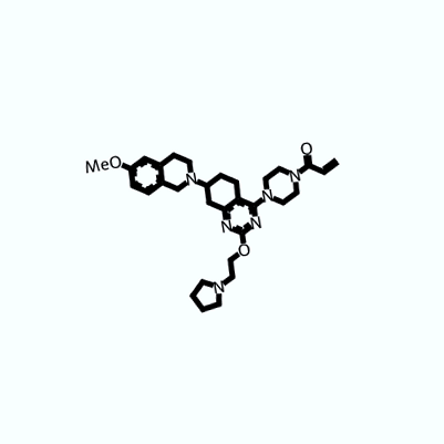 C=CC(=O)N1CCN(c2nc(OCCN3CCCC3)nc3c2CCC(N2CCc4cc(OC)ccc4C2)C3)CC1